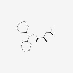 C=C(CC(=O)O)C(=O)OC(C1CCCCC1)C1CCCCC1